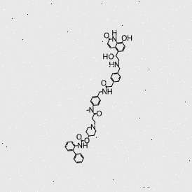 CN(C(=O)CCN1CCC(OC(=O)Nc2ccccc2-c2ccccc2)CC1)c1ccc(CNC(=O)Cc2ccc(CNC[C@H](O)c3ccc(O)c4[nH]c(=O)ccc34)cc2)cc1